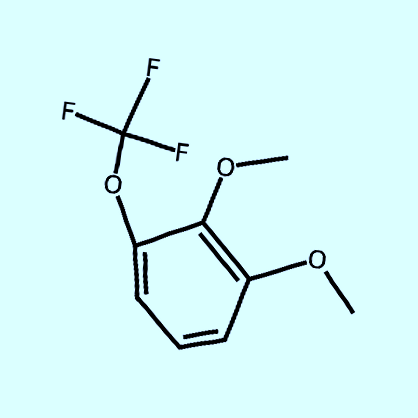 COc1cccc(OC(F)(F)F)c1OC